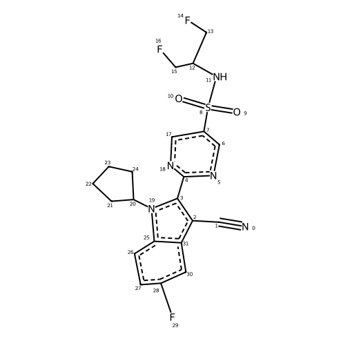 N#Cc1c(-c2ncc(S(=O)(=O)NC(CF)CF)cn2)n(C2CCCC2)c2ccc(F)cc12